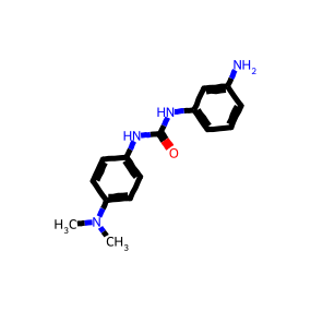 CN(C)c1ccc(NC(=O)Nc2cccc(N)c2)cc1